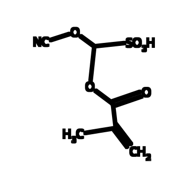 C=C(C)C(=O)OC(OC#N)S(=O)(=O)O